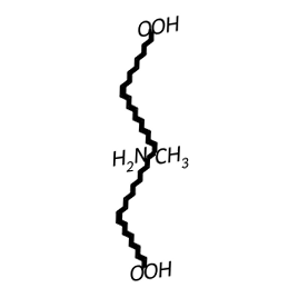 CC(CCCCCCCCC/C=C\CCCCCCCC(=O)O)C(N)CCCCCCC/C=C\CCCCCCCC(=O)O